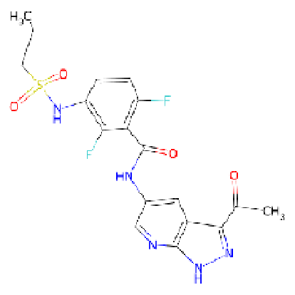 CCCS(=O)(=O)Nc1ccc(F)c(C(=O)Nc2cnc3[nH]nc(C(C)=O)c3c2)c1F